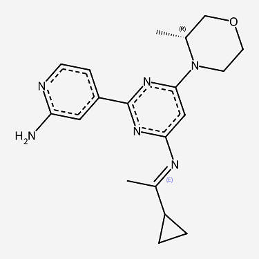 C/C(=N\c1cc(N2CCOC[C@H]2C)nc(-c2ccnc(N)c2)n1)C1CC1